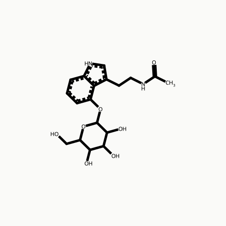 CC(=O)NCCc1c[nH]c2cccc(OC3OC(CO)C(O)C(O)C3O)c12